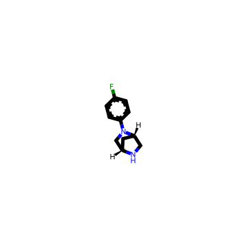 Fc1ccc(N2C[C@@H]3C[C@H]2CN3)cc1